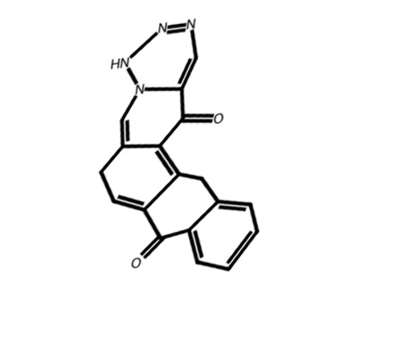 O=C1C2=CCc3cn4c(c(=O)c3=C2Cc2ccccc21)=CN=NN4